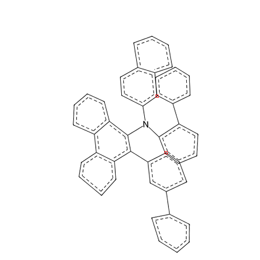 c1ccc(-c2cccc(-c3c(N(c4ccc5ccccc5c4)c4ccccc4-c4ccccc4)c4ccccc4c4ccccc34)c2)cc1